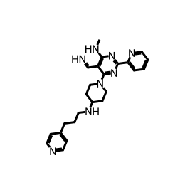 CNc1nc(-c2ccccn2)nc(N2CCC(NCCCc3ccncc3)CC2)c1C=N